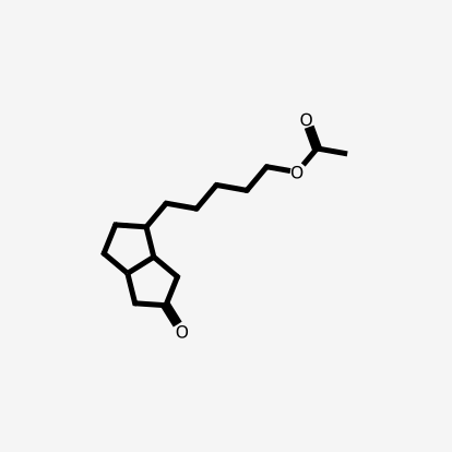 CC(=O)OCCCCCC1CCC2CC(=O)CC12